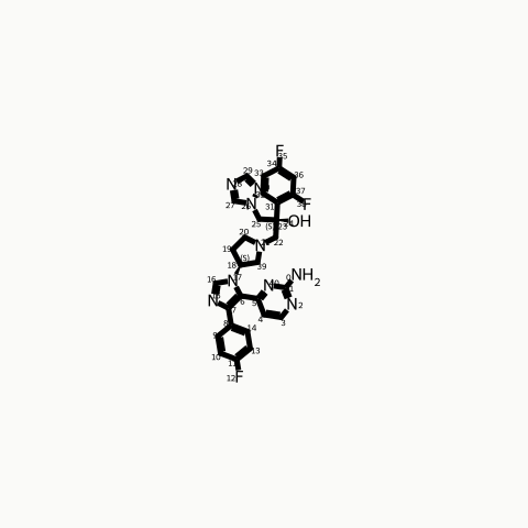 Nc1nccc(-c2c(-c3ccc(F)cc3)ncn2[C@H]2CCN(C[C@](O)(Cn3cncn3)c3ccc(F)cc3F)C2)n1